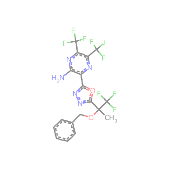 CC(OCc1ccccc1)(c1nnc(-c2nc(C(F)(F)F)c(C(F)(F)F)nc2N)o1)C(F)(F)F